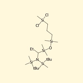 CCC(N([Si](C)(C)C(C)(C)C)[Si](C)(C)C(C)(C)C)[Si](C)(C)O[Si](C)(C)CCC[Si](C)(Cl)Cl